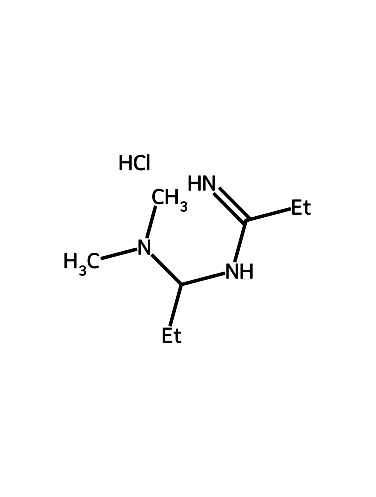 CCC(=N)NC(CC)N(C)C.Cl